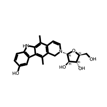 Cc1c2c(c(C)c3c1[nH]c1ccc(O)cc13)CN([C@@H]1O[C@@H](CO)[C@H](O)[C@H]1O)C=C2